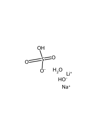 O.O=S(=O)([O-])O.[Li+].[Na+].[OH-]